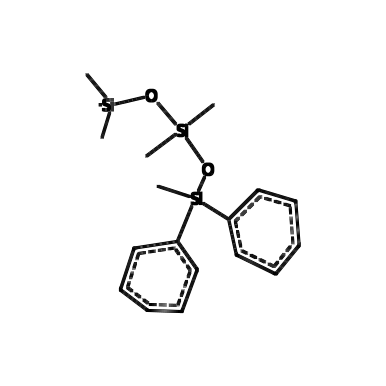 C[Si](C)O[Si](C)(C)O[Si](C)(c1ccccc1)c1ccccc1